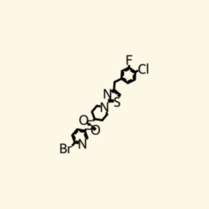 O=S(=O)(c1ccc(Br)nc1)C1CCN(c2nc(Cc3ccc(Cl)c(F)c3)cs2)CC1